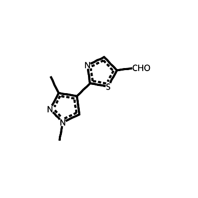 Cc1nn(C)cc1-c1ncc(C=O)s1